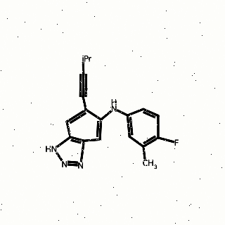 Cc1cc(Nc2cc3nn[nH]c3cc2C#CC(C)C)ccc1F